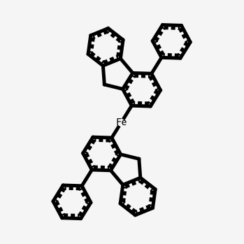 c1ccc(-c2cc[c]([Fe][c]3ccc(-c4ccccc4)c4c3Cc3ccccc3-4)c3c2-c2ccccc2C3)cc1